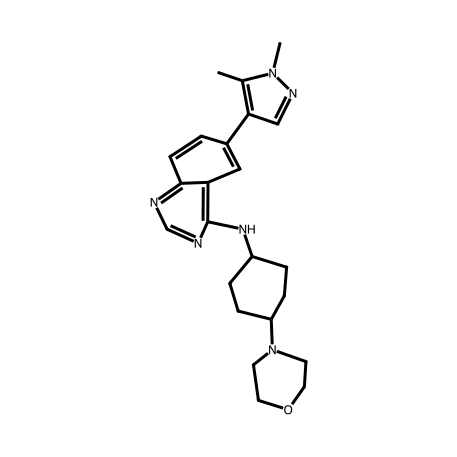 Cc1c(-c2ccc3ncnc(NC4CCC(N5CCOCC5)CC4)c3c2)cnn1C